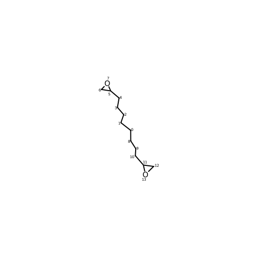 C(CCCCC1CO1)CCCC1CO1